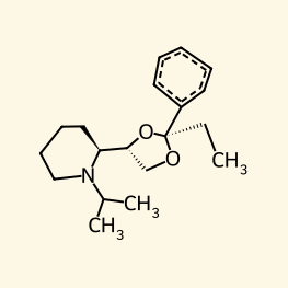 CC[C@]1(c2ccccc2)OC[C@H]([C@@H]2CCCCN2C(C)C)O1